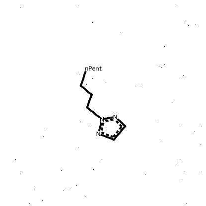 CCCCCCCCn1nccn1